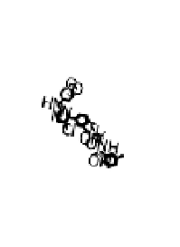 Cc1cccc([C@@H](CO)NC(=O)[C@@H](C)N2Cc3ccc(-c4nc(NC5CCS(=O)(=O)CC5)ncc4Cl)cc3C2O)c1